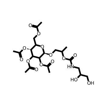 CC(=O)OCC1O[C@@H](OCC(C)OC(=O)NCC(O)CO)C(OC(C)=O)C(OC(C)=O)[C@@H]1OC(C)=O